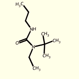 CCCNC(=O)N(CC)C(C)(C)C